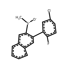 C[S+]([O-])c1cc2ccccc2cc1-c1cc(Cl)ccc1F